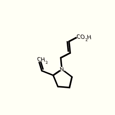 C=CC1CCCN1C/C=C/C(=O)O